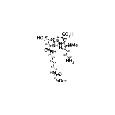 CCCCCCCCCCCC(=O)NCCCCCCNC(=O)C(CCC(=O)O)NC(=O)C(CCC(=O)O)NC(=O)C(CCCCN)NC